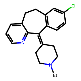 CCN1CCC(=C2c3ccc(Cl)cc3CCc3cccnc32)CC1